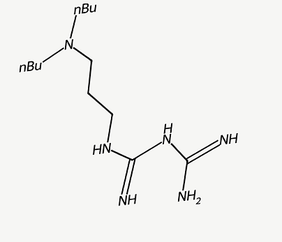 CCCCN(CCCC)CCCNC(=N)NC(=N)N